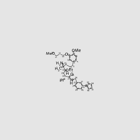 CC[C@@H](Cc1ccc(OC)c(OCCCOC)c1)C[C@](C)(N)[C@@H](O)C[C@H](C(=O)NCc1cccc(-n2cccc2)c1)C(C)C